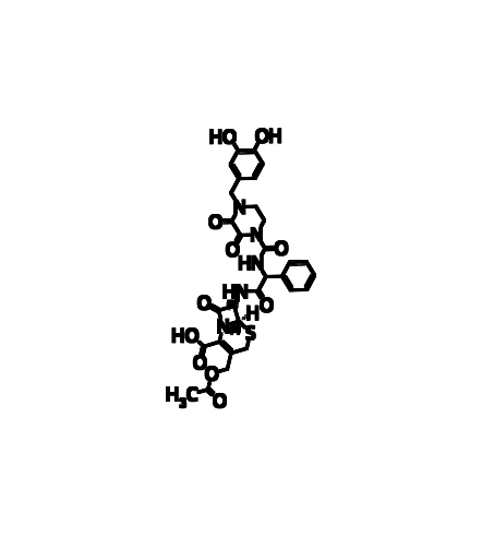 CC(=O)OCC1=C(C(=O)O)N2C(=O)[C@@H](NC(=O)C(NC(=O)N3CCN(Cc4ccc(O)c(O)c4)C(=O)C3=O)c3ccccc3)[C@H]2SC1